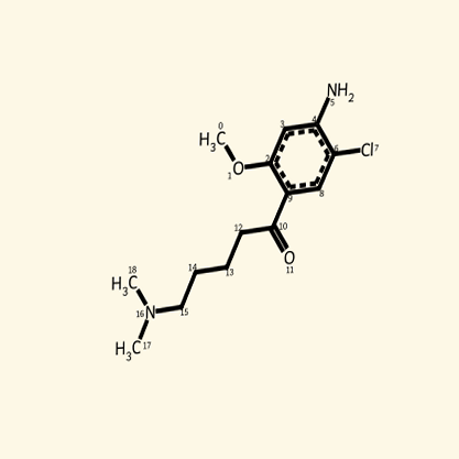 COc1cc(N)c(Cl)cc1C(=O)CCCCN(C)C